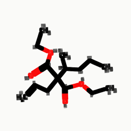 C=CCC(C(=O)OCC)(C(=O)OCC)C(C)CCC